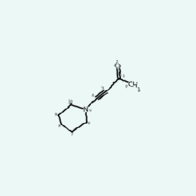 CC(=O)C#CN1CCCCC1